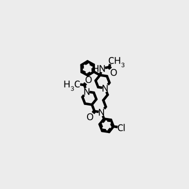 CC(=O)NC1(c2ccccc2)CCN(CCCN(C(=O)C2CCN(C(C)=O)CC2)c2cccc(Cl)c2)CC1